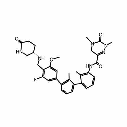 COc1cc(-c2cccc(-c3cccc(NC(=O)C4=NN(C)C(=O)N(C)C4)c3C)c2C)cc(F)c1CN[C@H]1CCC(=O)NC1